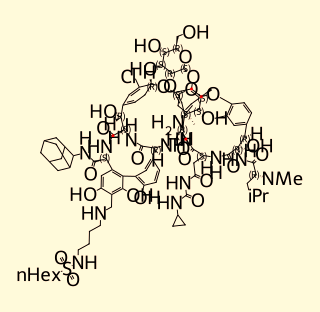 CCCCCCS(=O)(=O)NCCCCNCc1c(O)cc2c(c1O)-c1cc(ccc1O)[C@H]1NC(=O)[C@@H]3NC(=O)[C@H](CC(=O)NC(=O)NC4CC4)NC(=O)[C@H](NC(=O)[C@@H](CC(C)C)NC)[C@H](O)c4ccc(c(C)c4)Oc4cc3cc(c4O[C@@H]3O[C@H](CO)[C@@H](O)[C@H](O)[C@H]3O[C@H]3C[C@](C)(N)[C@H](O)[C@H](C)O3)O[C@@H]3CC=C(C=C3Cl)[C@@H](O)[C@H](NC1=O)C(=O)N[C@@H]2C(=O)NC1C2CC3CC(C2)CC1C3